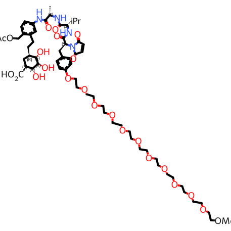 COCCOCCOCCOCCOCCOCCOCCOCCOCCOCCOCCOc1ccc(C[C@@H](C(=O)N[C@H](C(=O)N[C@@H](C)C(=O)Nc2ccc(COC(C)=O)c(CC[C@@H]3C[C@H](C(=O)O)[C@@H](O)[C@H](O)[C@H]3O)c2)C(C)C)N2C(=O)C=CC2=O)cc1